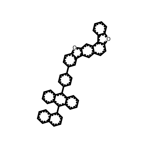 c1ccc2c(-c3c4ccccc4c(-c4ccc(-c5ccc6oc7cc8c(ccc9oc%10ccccc%10c98)cc7c6c5)cc4)c4ccccc34)cccc2c1